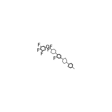 Cc1ccc(C2CCC(c3ccc(C4CCC(C(F)(F)Oc5cc(F)c(F)c(F)c5)CC4)c(F)c3)CC2)cc1